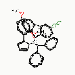 COc1ccc(C2=CC=C[CH]2[Zr+2](=[C](c2ccccc2)c2ccccc2)[CH]2c3ccccc3-c3ccccc32)c(OC)c1.[Cl-].[Cl-]